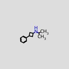 CC(C)NC1CC(c2ccccc2)C1